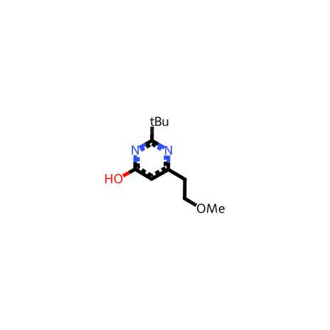 COCCc1cc(O)nc(C(C)(C)C)n1